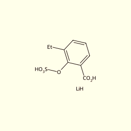 CCc1cccc(C(=O)O)c1OS(=O)(=O)O.[LiH]